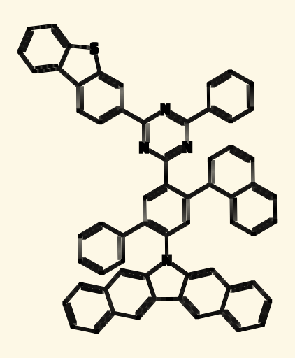 c1ccc(-c2nc(-c3ccc4c(c3)sc3ccccc34)nc(-c3cc(-c4ccccc4)c(-n4c5cc6ccccc6cc5c5cc6ccccc6cc54)cc3-c3cccc4ccccc34)n2)cc1